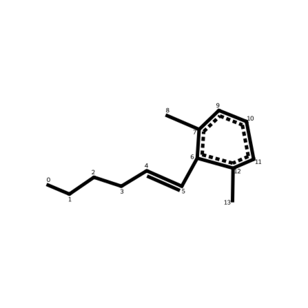 CCCCC=Cc1c(C)cccc1C